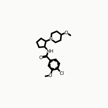 COc1cc(C(=O)NC2CCCC2N2CCC(OC)CC2)ccc1Cl